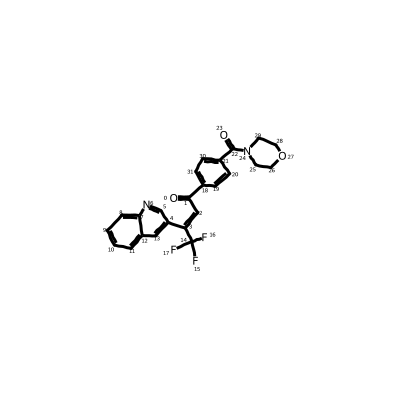 O=C(/C=C(\c1cnc2ccccc2c1)C(F)(F)F)c1ccc(C(=O)N2CCOCC2)cc1